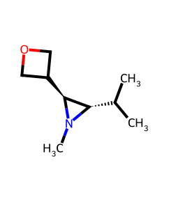 CC(C)[C@H]1[C@H](C2COC2)N1C